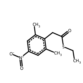 CCSC(=O)Cc1c(C)cc([N+](=O)[O-])cc1C